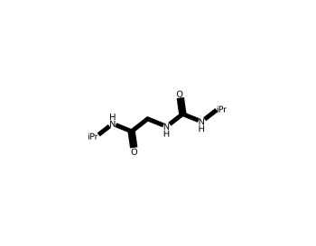 CC(C)NC(=O)CNC(=O)NC(C)C